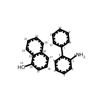 Nc1ccccc1-c1ccccc1.Oc1cccc2ccccc12